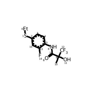 CCSc1ccc(NC(=O)C(C)(O)C(F)(F)F)c(F)c1